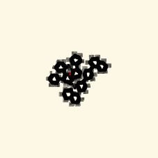 c1ccc(-c2cc(N(c3cccc(-c4ccc(-c5cccc6ccccc56)cc4)c3)c3cccc4ccccc34)ccc2-c2ccccc2-n2c3ccccc3c3ccccc32)cc1